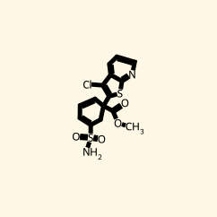 COC(=O)C1(c2sc3ncccc3c2Cl)C=CC=C(S(N)(=O)=O)C1